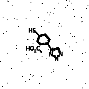 CC(=O)O.Sc1ccc(-n2cnnn2)cc1